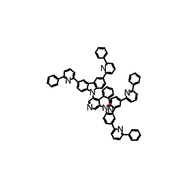 N#Cc1ccccc1-c1c(-n2c3ccc(-c4cccc(-c5ccccc5)n4)cc3c3cc(-c4cccc(-c5ccccc5)n4)ccc32)cncc1-n1c2ccc(-c3cccc(-c4ccccc4)n3)cc2c2cc(-c3cccc(-c4ccccc4)n3)ccc21